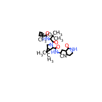 COC(C)(C)C(NC(=O)C1(C(F)(F)F)CCC1)C(=O)N1CC2C(C1C(=O)NC(C#N)CC1CCCNC1=O)C2(C)C